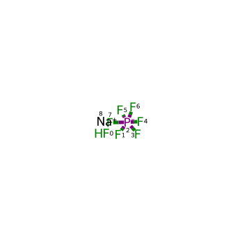 F.F[P-](F)(F)(F)(F)F.[Na+]